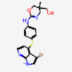 CC1(CO)CN=C(Nc2ccc(Sc3ccnc4[nH]cc(Br)c34)cc2)OC1